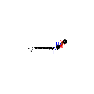 O=C(NS(=O)(=O)c1ccccc1)c1ccc(NCCCCCCCCCCCCCCCC(F)(F)F)cc1